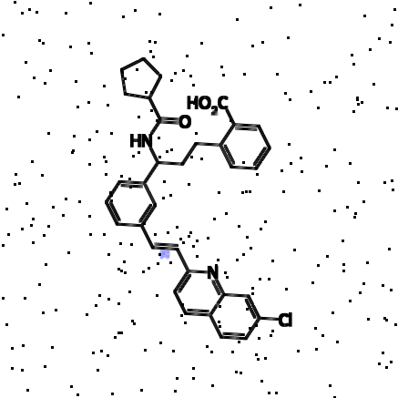 O=C(O)c1ccccc1CCC(NC(=O)C1CCCC1)c1cccc(/C=C/c2ccc3ccc(Cl)cc3n2)c1